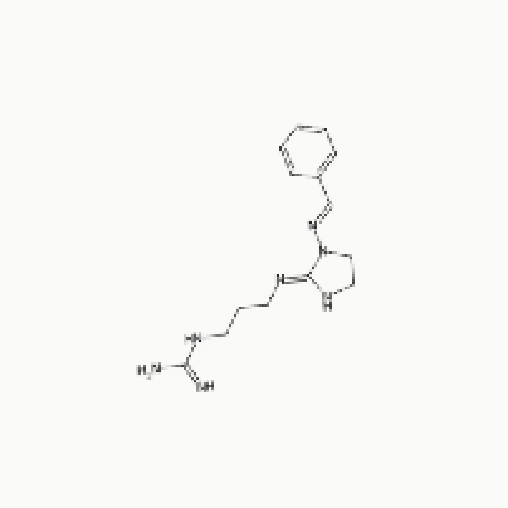 N=C(N)NCCCN=C1NCCN1N=Cc1ccccc1